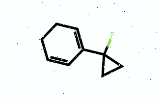 FC1(C2=CC[CH]C=C2)CC1